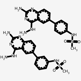 CS(=O)(=O)Nc1ccc(-c2ccc3nc(N)nc(NN)c3c2)cc1.CS(=O)(=O)Nc1cccc(-c2ccc3nc(N)nc(NN)c3c2)c1